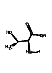 C[C@@H](O)[C@H](NI)C(=O)O